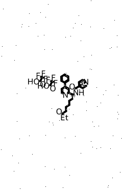 CCC(=O)CCCCC[C@H](NC(=O)C12CCN(CC1)CC2)c1cc(-c2ccccc2)ccn1.O=C(O)C(F)(F)F.O=C(O)C(F)(F)F